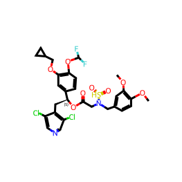 COc1ccc(CN(CC(=O)O[C@@H](Cc2c(Cl)cncc2Cl)c2ccc(OC(F)F)c(OCC3CC3)c2)[SH](=O)=O)cc1OC